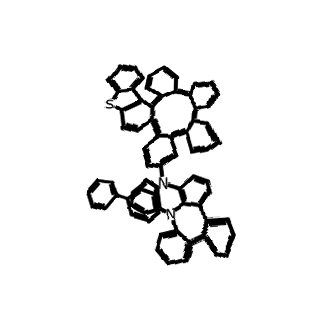 c1ccc(-c2cccc(N(c3ccc4c(c3)c3ccccc3c3ccccc3c3ccccc3c3c4ccc4sc5ccccc5c43)c3cccc4c3N(c3ccccc3)c3ccccc3-c3ccccc3-4)c2)cc1